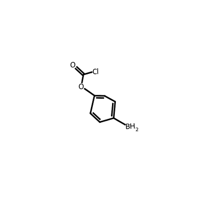 Bc1ccc(OC(=O)Cl)cc1